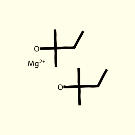 CCC(C)(C)[O-].CCC(C)(C)[O-].[Mg+2]